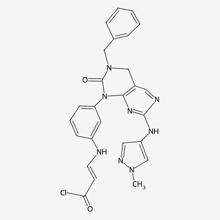 Cn1cc(Nc2ncc3c(n2)N(c2cccc(N/C=C/C(=O)Cl)c2)C(=O)N(Cc2ccccc2)C3)cn1